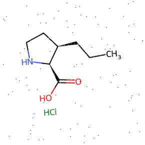 CCC[C@@H]1CCN[C@@H]1C(=O)O.Cl